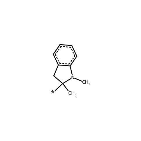 CN1c2ccccc2CC1(C)Br